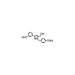 COc1ccc(Cn2nc(-c3cccc(C=O)c3)cc2CO)cc1